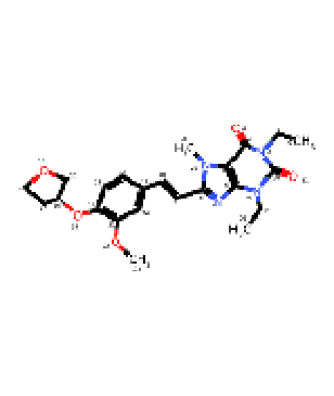 CCn1c(=O)c2c(nc(/C=C/c3ccc(O[C@H]4CCOC4)c(OC)c3)n2C)n(CC)c1=O